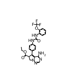 CCOC(=O)C1CN2N=CN=C(N)C2=C1c1ccc(NC(=O)Nc2ccccc2OC(F)(F)F)cc1